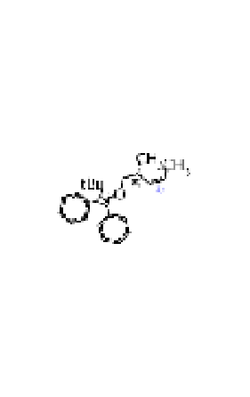 C/C=C\[C@@H](C)CO[Si](c1ccccc1)(c1ccccc1)C(C)(C)C